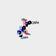 COc1ccc2c(c1)[C@]1(C[C@H]1c1ccc3c(Nc4ncnc(N5CC(OC)C5)c4Cl)nn(C(=O)OC(C)(C)C)c3c1)C(=O)N2C(=O)OC(C)(C)C